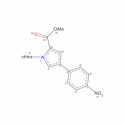 CCCCCCn1cc(-c2ccc([N+](=O)[O-])cc2)cc1C(=O)OC